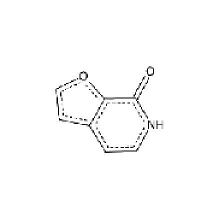 O=c1[nH]ccc2ccoc12